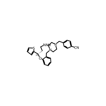 CNCC[C@H](Oc1ccccc1CN1CCN(Cc2ccc(C#N)cc2)CC1)c1cccs1